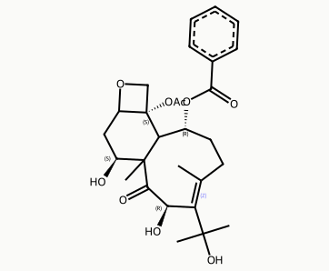 CC(=O)O[C@@]12COC1C[C@H](O)C1(C)C(=O)[C@H](O)/C(C(C)(C)O)=C(\C)CC[C@@H](OC(=O)c3ccccc3)C12